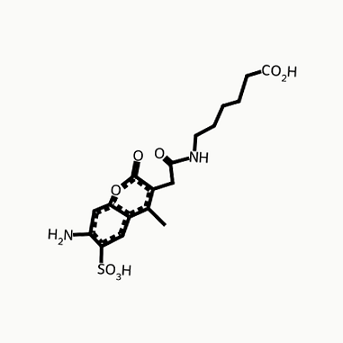 Cc1c(CC(=O)NCCCCCC(=O)O)c(=O)oc2cc(N)c(S(=O)(=O)O)cc12